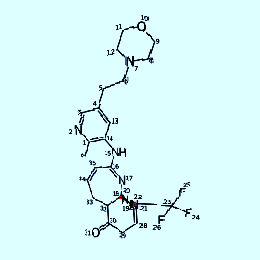 Cc1ncc(CCN2CCOCC2)cc1NC1=NC23N=CN=C(C(F)(F)F)C2=CCC(=O)C3CC=C1